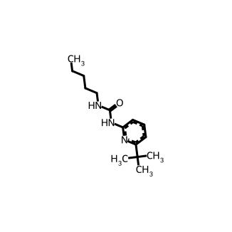 CCCCCNC(=O)Nc1cccc(C(C)(C)C)n1